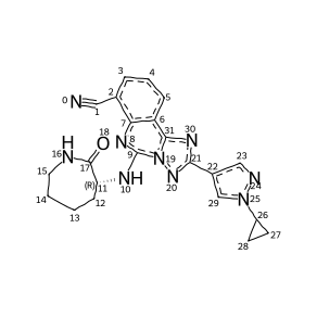 N#Cc1cccc2c1nc(N[C@@H]1CCCCNC1=O)n1nc(-c3cnn(C4CC4)c3)nc21